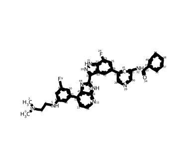 CN(C)CCNc1cc(F)cc(-c2ccnc3[nH]c(-c4n[nH]c5c(F)cc(-c6cncc(NC(=O)c7ccccc7)c6)cc45)nc23)c1